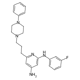 Nc1cc(CCCN2CCN(c3ccccc3)CC2)nc(Nc2cccc(F)c2)c1